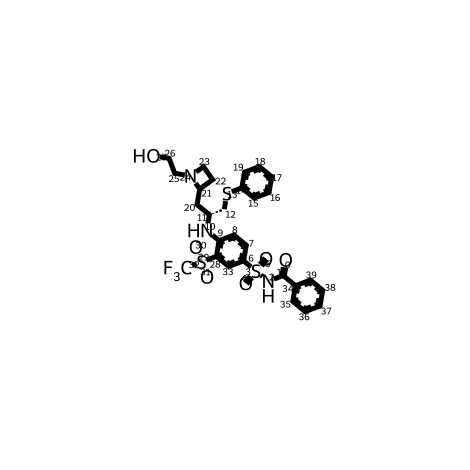 O=C(NS(=O)(=O)c1ccc(N[C@@H](CSc2ccccc2)CC2CCN2CCO)c(S(=O)(=O)C(F)(F)F)c1)c1ccccc1